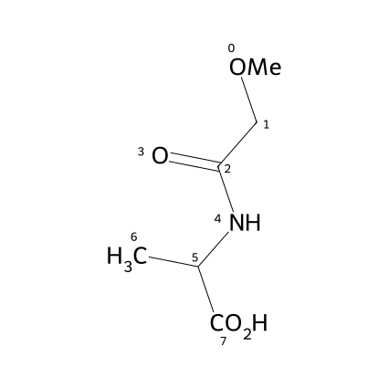 COCC(=O)NC(C)C(=O)O